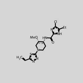 C=Cc1nnc(N2CC[C@@H](NC(=O)c3nc(Cl)c(CC)[nH]3)[C@@H](OC)C2)s1